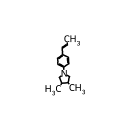 C/C=C/c1ccc(N2CC(C)C(C)C2)cc1